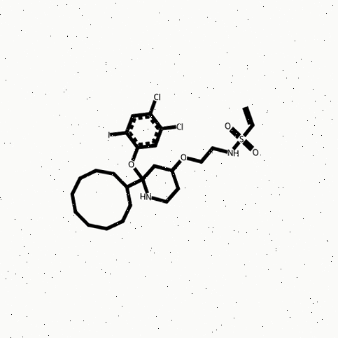 C=CS(=O)(=O)NCCOC1CCNC(Oc2cc(Cl)c(Cl)cc2I)(C2CCCCCCCCC2)C1